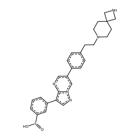 O=S(O)c1cccc(-c2cnn3cc(-c4ccc(CCN5CCC6(CC5)CNC6)cc4)cnc23)c1